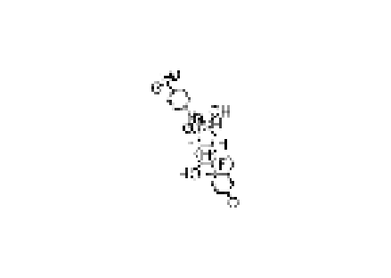 C[C@]12C=CC(=O)C=C1CC[C@H]1[C@@H]3C[C@H]4CN(c5ccc(S(C)(=O)=O)cc5)O[C@@]4(C(=O)CO)[C@@]3(C)C[C@H](O)[C@@]12F